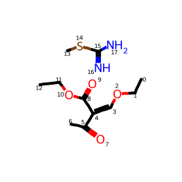 CCOC=C(C(C)=O)C(=O)OCC.CSC(=N)N